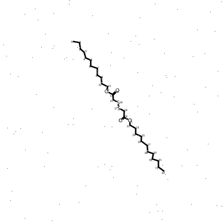 CCCCCCCCCCCCOC(=O)CSSCC(=O)OCCCCCCCCCCCC